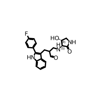 O=CC(CN[C@@H]1C(=O)NC[C@H]1O)Cc1c(-c2ccc(F)cc2)[nH]c2ccccc12